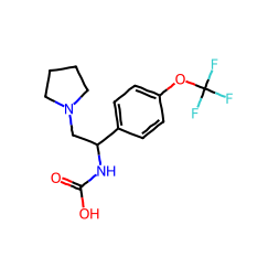 O=C(O)NC(CN1CCCC1)c1ccc(OC(F)(F)F)cc1